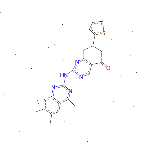 Cc1cc2nc(Nc3ncc4c(n3)CC(c3cccs3)CC4=O)nc(C)c2cc1C